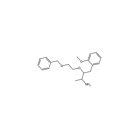 COc1ccccc1CC(OCCOCc1ccccc1)C(C)N